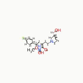 CO[C@H](C[C@H](CCN1CCC[C@@H](CO)C1)C(=O)NO)c1ccc(F)cc1